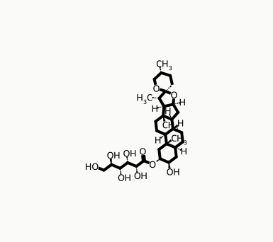 C[C@@H]1CC[C@]2(OC1)O[C@H]1C[C@H]3[C@@H]4CC[C@H]5C[C@@H](O)[C@H](OC(=O)[C@H](O)[C@@H](O)[C@H](O)[C@H](O)CO)C[C@]5(C)[C@H]4CC[C@]3(C)[C@H]1[C@@H]2C